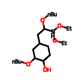 CCCCOC1CC(CC(OCCCC)[SiH](OCC)OCC)CCC1O